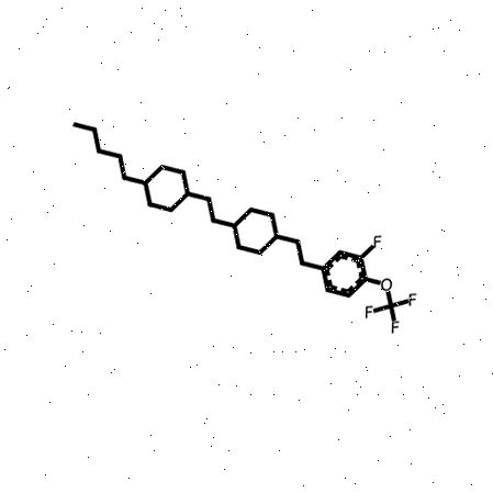 CCCCCC1CCC(CCC2CCC(CCc3ccc(OC(F)(F)F)c(F)c3)CC2)CC1